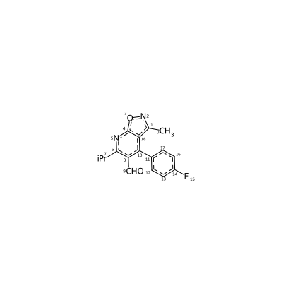 Cc1noc2nc(C(C)C)c(C=O)c(-c3ccc(F)cc3)c12